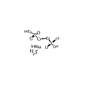 O=S(=O)(O)OOS(=O)(=O)O.S.[NaH]